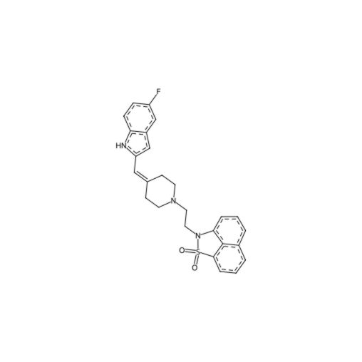 O=S1(=O)c2cccc3cccc(c23)N1CCN1CCC(=Cc2cc3cc(F)ccc3[nH]2)CC1